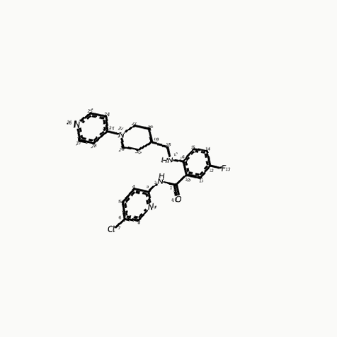 O=C(Nc1ccc(Cl)cn1)c1cc(F)ccc1NCC1CCN(c2ccncc2)CC1